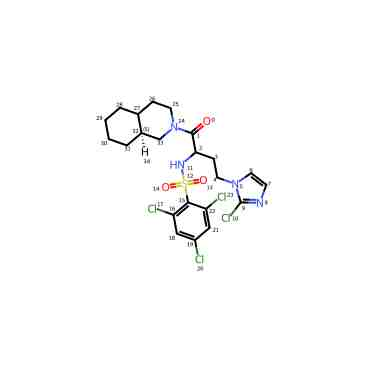 O=C(C(CCn1ccnc1Cl)NS(=O)(=O)c1c(Cl)cc(Cl)cc1Cl)N1CCC2CCCC[C@@H]2C1